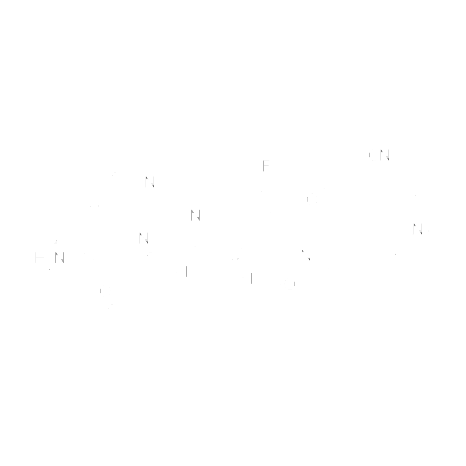 N#Cc1cncc([C@@H]2CCON2C(=O)C2C(F)CN(c3nccc(C(N)=O)n3)C(F)C2F)c1